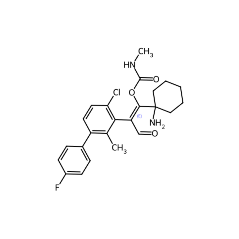 CNC(=O)O/C(=C(/C=O)c1c(Cl)ccc(-c2ccc(F)cc2)c1C)C1(N)CCCCC1